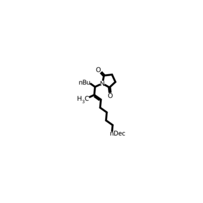 CCCCCCCCCCCCCCC=C(C)C(CCCC)N1C(=O)CCC1=O